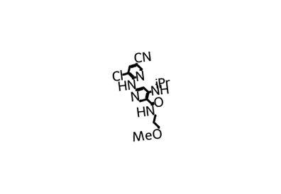 COCCCNC(=O)c1cnc(Nc2ncc(C#N)cc2Cl)cc1NC(C)C